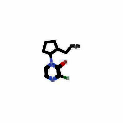 CCOC(=O)CC1CCCC1n1ccnc(Cl)c1=O